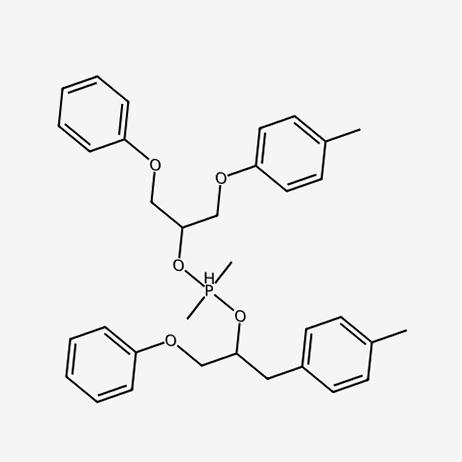 Cc1ccc(CC(COc2ccccc2)O[PH](C)(C)OC(COc2ccccc2)COc2ccc(C)cc2)cc1